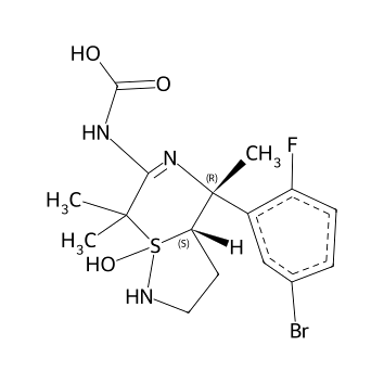 CC1(C)C(NC(=O)O)=N[C@](C)(c2cc(Br)ccc2F)[C@@H]2CCNS21O